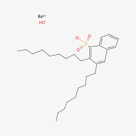 CCCCCCCCCc1cc2ccccc2c(S(=O)(=O)[O-])c1CCCCCCCCC.[Ba+2].[OH-]